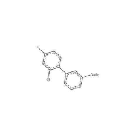 COc1[c]ccc(-c2ccc(F)cc2Cl)c1